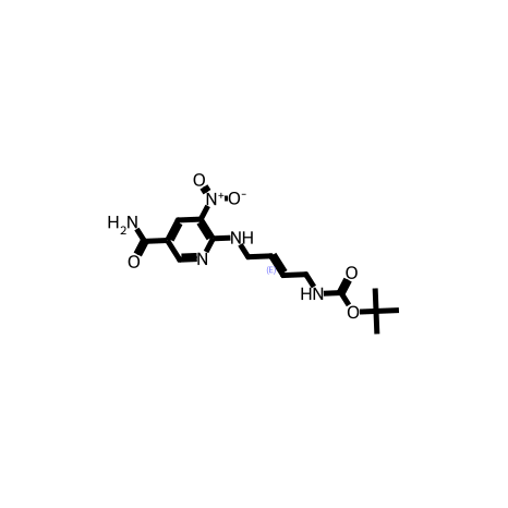 CC(C)(C)OC(=O)NC/C=C/CNc1ncc(C(N)=O)cc1[N+](=O)[O-]